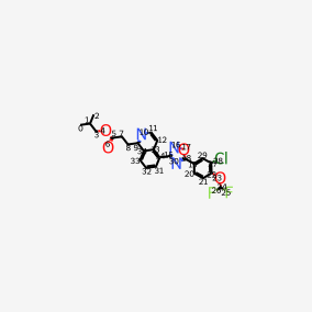 CC(C)COC(=O)CCc1nccc2c(-c3noc(-c4ccc(OC(F)F)c(Cl)c4)n3)cccc12